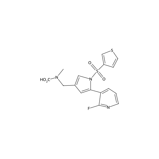 CN(Cc1cc(-c2cccnc2F)n(S(=O)(=O)c2ccsc2)c1)C(=O)O